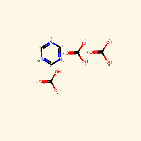 O=C(O)O.O=C(O)O.O=C(O)O.c1ncncn1